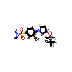 CN(C)S(=O)(=O)c1ccc(N2CCC(O[Si](C)(C)C(C)(C)C)C2)c(Br)c1